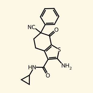 N#CC1(c2ccccc2)CCc2c(sc(N)c2C(=O)NC2CC2)C1=O